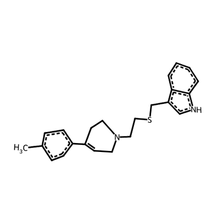 Cc1ccc(C2=CCN(CCSCc3c[nH]c4ccccc34)CC2)cc1